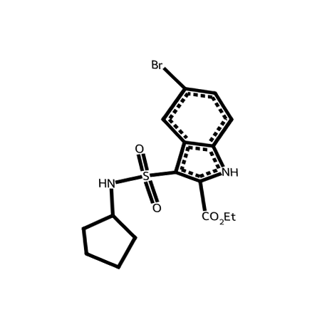 CCOC(=O)c1[nH]c2ccc(Br)cc2c1S(=O)(=O)NC1CCCC1